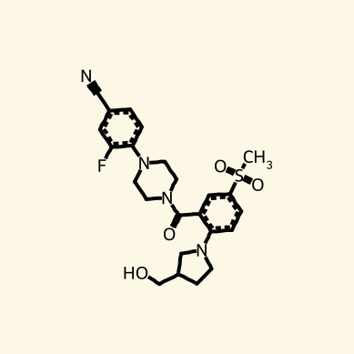 CS(=O)(=O)c1ccc(N2CCC(CO)C2)c(C(=O)N2CCN(c3ccc(C#N)cc3F)CC2)c1